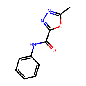 Cc1nnc(C(=O)Nc2ccccc2)o1